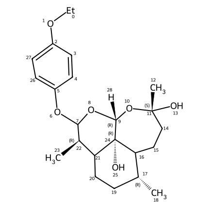 CCOc1ccc(OC2O[C@@H]3O[C@](C)(O)CCC4[C@H](C)CCC([C@H]2C)[C@]43O)cc1